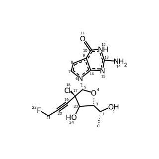 C[C@@H](O)[C@H]1O[C@@H](n2ccc3c(=O)[nH]c(N)nc32)[C@@](Cl)(C#CCF)C1O